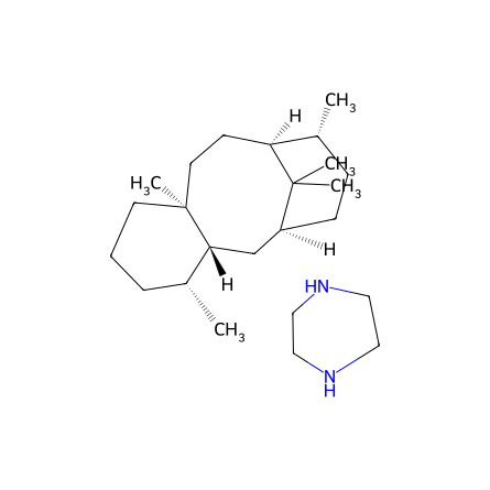 C1CNCCN1.C[C@@H]1CCC[C@@]2(C)CC[C@H]3[C@H](C)CC[C@@H](C[C@H]12)C3(C)C